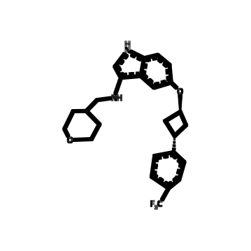 FC(F)(F)c1ccc([C@H]2C[C@H](Oc3ccc4[nH]cc(NCC5CCOCC5)c4c3)C2)cc1